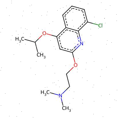 CC(C)Oc1cc(OCCN(C)C)nc2c(Cl)cccc12